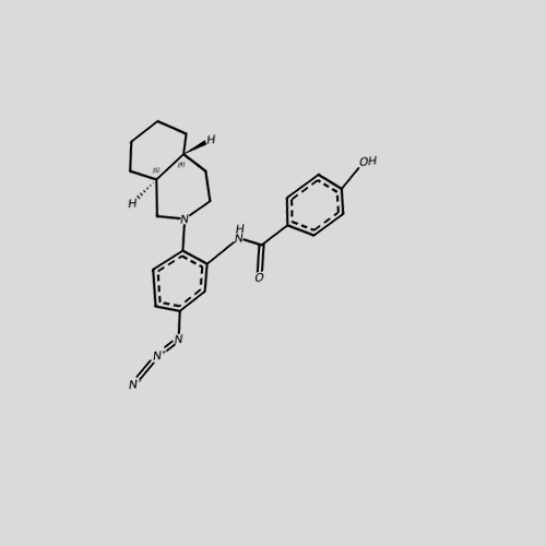 [N-]=[N+]=Nc1ccc(N2CC[C@H]3CCCC[C@@H]3C2)c(NC(=O)c2ccc(O)cc2)c1